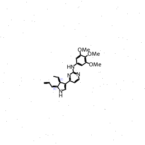 C=C/C=c1/[nH]cc(-c2ccnc(Nc3cc(OC)c(OC)c(OC)c3)n2)/c1=C/C